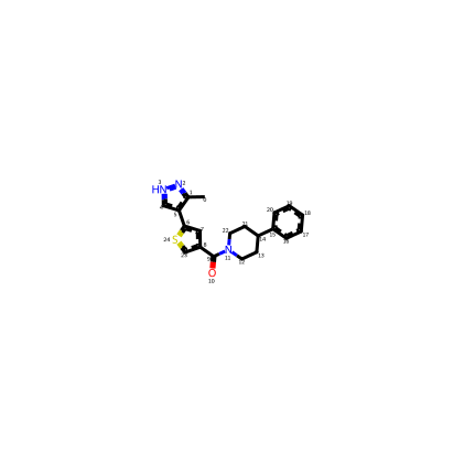 Cc1n[nH]cc1-c1cc(C(=O)N2CCC(c3ccccc3)CC2)cs1